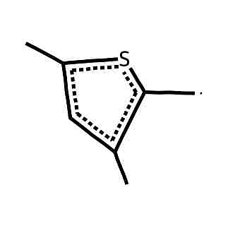 [CH2]c1sc(C)cc1C